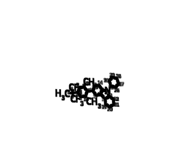 Cc1cc(C(C)(C(F)(F)F)C(F)(F)F)cc(C)c1-c1ccc2c(c1)c1ccccc1n2-c1ccccc1